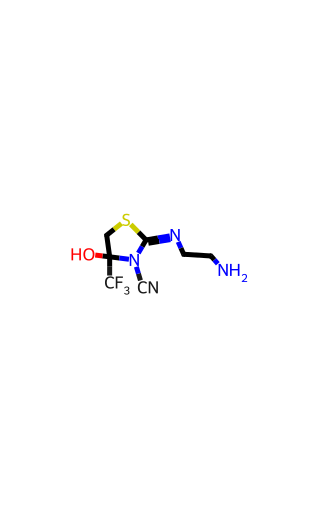 N#CN1C(=NCCN)SCC1(O)C(F)(F)F